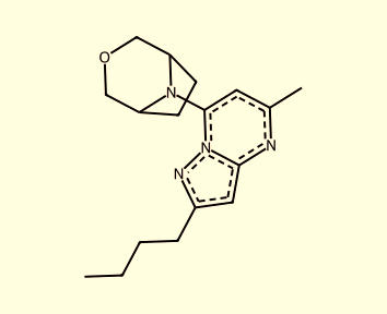 CCCCc1cc2nc(C)cc(N3C4CCC3COC4)n2n1